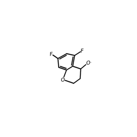 [O]C1CCOc2cc(F)cc(F)c21